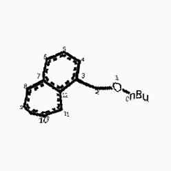 [CH2]CCCOCc1cccc2ccccc12